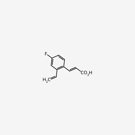 C=Cc1cc(F)ccc1C=CC(=O)O